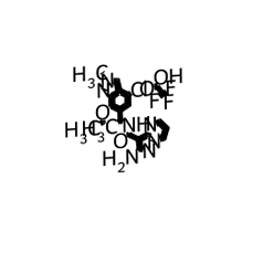 CCOc1c(C(C)NC(=O)c2c(N)nn3cccnc23)cc(Cl)c2cn(C)nc12.O=C(O)C(F)(F)F